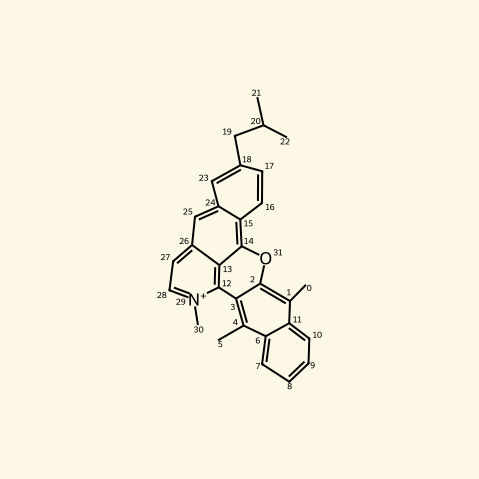 Cc1c2c(c(C)c3ccccc13)-c1c3c(c4ccc(CC(C)C)cc4cc3cc[n+]1C)O2